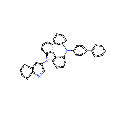 c1ccc(-c2ccc(N(c3ccccc3)c3cccc4c3c3ccccc3n4-c3cnc4ccccc4c3)cc2)cc1